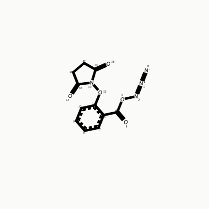 [N-]=[N+]=NOC(=O)c1ccccc1ON1C(=O)CCC1=O